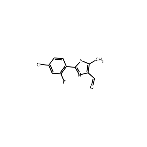 Cc1sc(-c2ccc(Cl)cc2F)nc1C=O